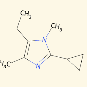 CCc1c(C)nc(C2CC2)n1C